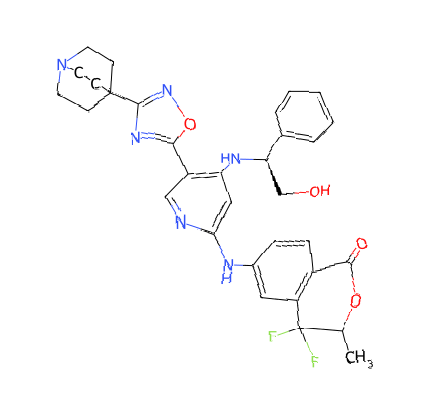 CC1OC(=O)c2ccc(Nc3cc(N[C@H](CO)c4ccccc4)c(-c4nc(C56CCN(CC5)CC6)no4)cn3)cc2C1(F)F